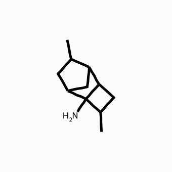 CC1CC2CC1C1CC(C)C21N